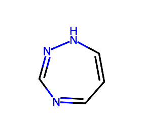 C1=CNN=CN=C1